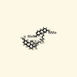 CNCc1ccc2cc3ccc(CNC)cc3[n+](CCC[N+](C)(C)CCC[N+](C)(C)CCC[n+]3c4cc(N(C)C)ccc4cc4ccc(N(C)C)cc43)c2c1